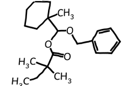 CCC(C)(C)C(=O)OC(OCc1ccccc1)C1(C)CCCCC1